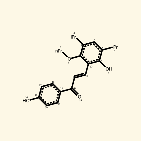 CCCOc1c(C(C)C)cc(C(C)C)c(O)c1/C=C/C(=O)c1ccc(O)cc1